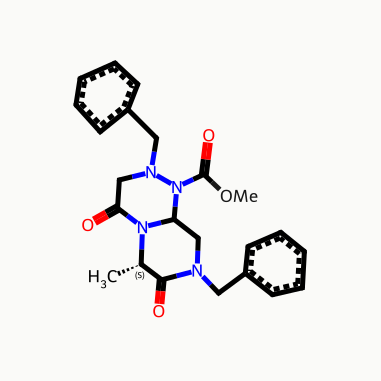 COC(=O)N1C2CN(Cc3ccccc3)C(=O)[C@H](C)N2C(=O)CN1Cc1ccccc1